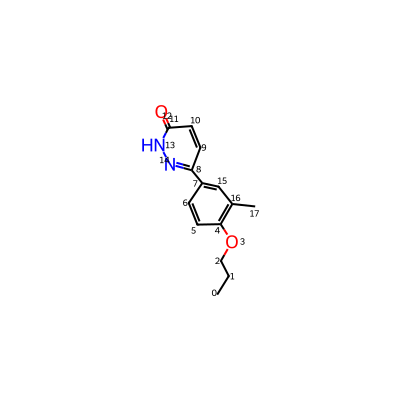 CCCOc1ccc(-c2ccc(=O)[nH]n2)cc1C